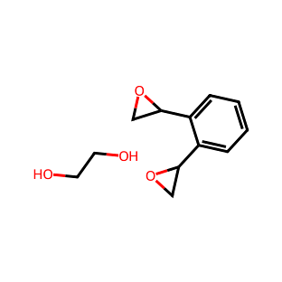 OCCO.c1ccc(C2CO2)c(C2CO2)c1